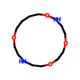 C1CCONCCOCCOCCNCCOC1